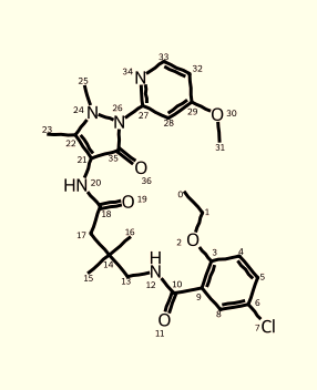 CCOc1ccc(Cl)cc1C(=O)NCC(C)(C)CC(=O)Nc1c(C)n(C)n(-c2cc(OC)ccn2)c1=O